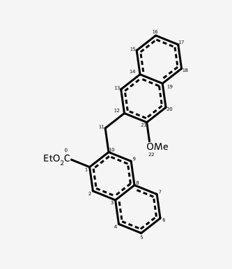 CCOC(=O)c1cc2ccccc2cc1Cc1cc2ccccc2cc1OC